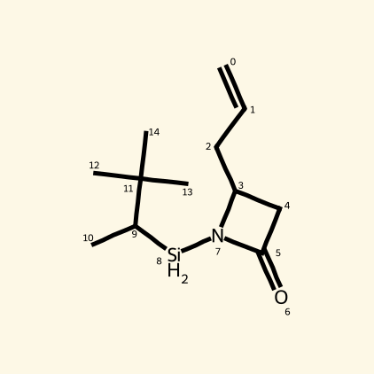 C=CCC1CC(=O)N1[SiH2]C(C)C(C)(C)C